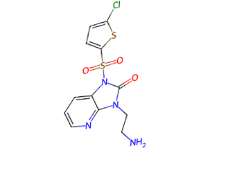 NCCn1c(=O)n(S(=O)(=O)c2ccc(Cl)s2)c2cccnc21